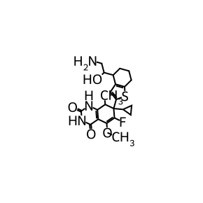 COC1=C(F)C(c2cc3c(s2)CCCC3C(O)CN)(C2CC2)C(C)c2[nH]c(=O)[nH]c(=O)c21